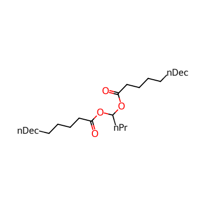 CCCCCCCCCCCCCCC(=O)OC(CCC)OC(=O)CCCCCCCCCCCCCC